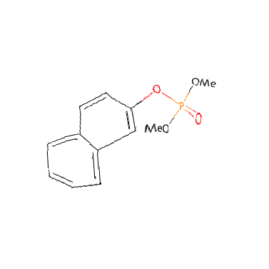 COP(=O)(OC)Oc1ccc2ccccc2c1